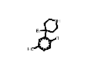 CCC1(c2cc(O)ccc2Cl)CCNCC1